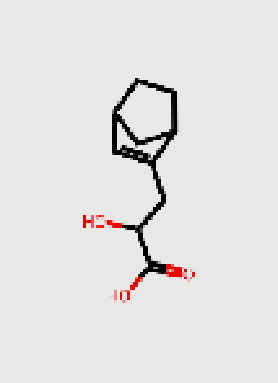 O=C(O)C(O)CC1=CC2CCC1C2